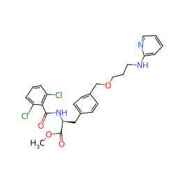 COC(=O)[C@H](Cc1ccc(COCCCNc2ccccn2)cc1)NC(=O)c1c(Cl)cccc1Cl